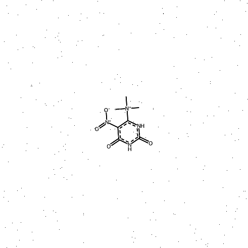 C[N+](C)(C)c1[nH]c(=O)[nH]c(=O)c1[N+](=O)[O-]